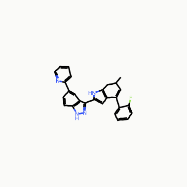 CC1C=C(c2ccccc2F)c2cc(-c3n[nH]c4ccc(-c5ccccn5)cc34)[nH]c2C1